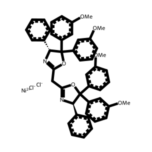 COc1cccc(C2(c3cccc(OC)c3)OC(CC3=N[C@H](c4ccccc4)C(c4cccc(OC)c4)(c4cccc(OC)c4)O3)=N[C@@H]2c2ccccc2)c1.[Cl-].[Cl-].[Ni+2]